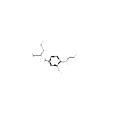 O=[N+]([O-])c1cc(NC(CO)CCO)ccc1NCCO